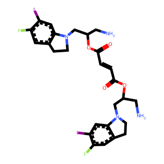 NCC(CN1CCc2cc(F)c(I)cc21)OC(=O)/C=C/C(=O)OC(CN)CN1CCc2cc(F)c(I)cc21